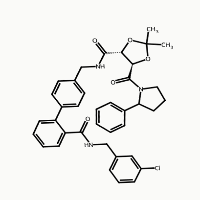 CC1(C)O[C@@H](C(=O)NCc2ccc(-c3ccccc3C(=O)NCc3cccc(Cl)c3)cc2)[C@H](C(=O)N2CCCC2c2ccccc2)O1